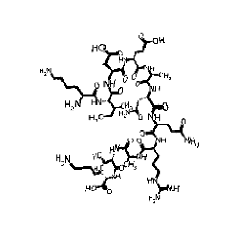 CC[C@H](C)[C@H](NC(=O)[C@@H](N)CCCCN)C(=O)N[C@@H](CC(=O)O)C(=O)N[C@@H](CCC(=O)O)C(=O)N[C@@H](C)C(=O)N[C@@H](CC(N)=O)C(=O)N[C@@H](CCC(N)=O)C(=O)N[C@@H](CCCNC(=N)N)C(=O)N[C@@H](C)C(=O)N[C@H](C(=O)N[C@@H](CCCCN)C(=O)O)[C@@H](C)O